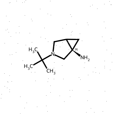 CC(C)(C)N1CC2C[C@]2(N)C1